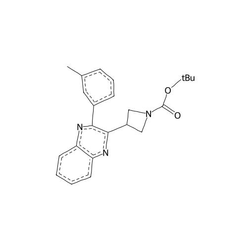 Cc1cccc(-c2nc3ccccc3nc2C2CN(C(=O)OC(C)(C)C)C2)c1